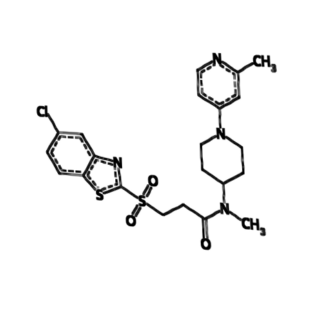 Cc1cc(N2CCC(N(C)C(=O)CCS(=O)(=O)c3nc4cc(Cl)ccc4s3)CC2)ccn1